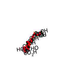 CCC(C)C(CC(O)CC(=O)O[C@H]1C[C@@H](OC(=O)[C@@H]2CC(C)(C)CC3C4=CCC5[C@@]6(C)CC[C@H](O[C@H]7C[C@@H](O[C@H]8OC[C@@H](O)C[C@H]8O)C[C@@H](C(=O)O)O7)[C@@](C)(C=O)C6CC[C@@]5(C)[C@]4(C)C[C@@H](O)C32)O[C@@H](C)[C@H]1O)OC(=O)CC(O)CC(O[C@@H]1C[C@@H](CO)C[C@H]1O)C(C)CC